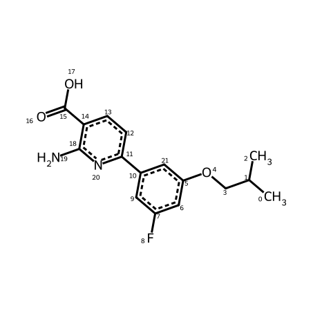 CC(C)COc1cc(F)cc(-c2ccc(C(=O)O)c(N)n2)c1